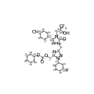 O=C(OCc1nc(Cn2nc(-c3ccc(Cl)cc3)n(C[C@H](O)C(F)(F)F)c2=O)nn1-c1cccc(F)c1)Oc1ccccc1